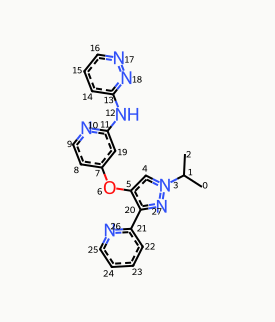 CC(C)n1cc(Oc2ccnc(Nc3cccnn3)c2)c(-c2ccccn2)n1